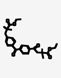 CCOC(=O)C(C)(C)CC(=O)c1ccc(C(=O)c2ccc(CC(C)(C)C(=O)OCC)cc2)cc1